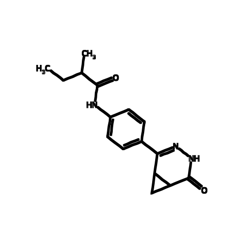 CCC(C)C(=O)Nc1ccc(C2=NNC(=O)C3CC23)cc1